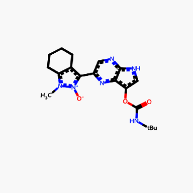 Cn1c2c(c(-c3cnc4[nH]cc(OC(=O)NC(C)(C)C)c4n3)[n+]1[O-])CCCC2